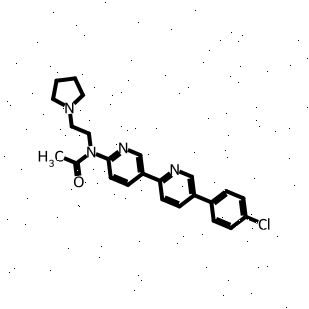 CC(=O)N(CCN1CCCC1)c1ccc(-c2ccc(-c3ccc(Cl)cc3)cn2)cn1